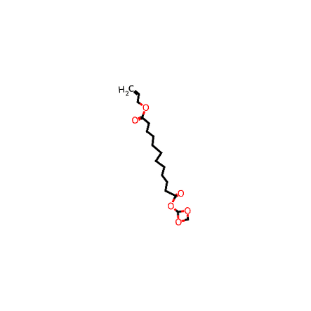 C=CCOC(=O)CCCCCCCCCCC(=O)OC1OCO1